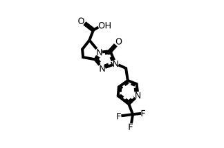 O=C(O)C1CCc2nn(Cc3ccc(C(F)(F)F)nc3)c(=O)n21